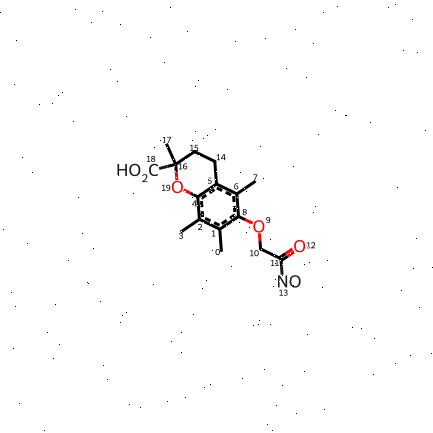 Cc1c(C)c2c(c(C)c1OCC(=O)N=O)CCC(C)(C(=O)O)O2